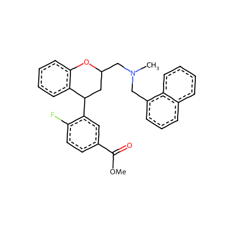 COC(=O)c1ccc(F)c(C2CC(CN(C)Cc3cccc4ccccc34)Oc3ccccc32)c1